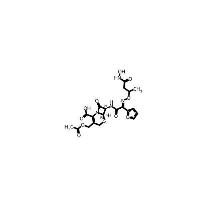 CC(=O)OCC1=C(C(=O)O)N2C(=O)[C@@H](NC(=O)C(=NOC(C)CC(=O)NO)c3ccco3)[C@H]2SC1